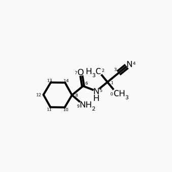 CC(C)(C#N)NC(=O)C1(N)CCCCC1